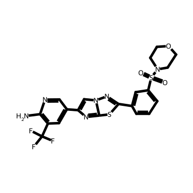 Nc1ncc(-c2cn3nc(-c4cccc(S(=O)(=O)N5CCOCC5)c4)sc3n2)cc1C(F)(F)F